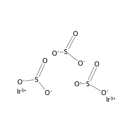 O=S([O-])[O-].O=S([O-])[O-].O=S([O-])[O-].[Ir+3].[Ir+3]